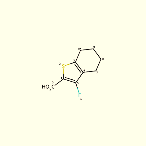 O=C(O)c1sc2c(c1F)CCCC2